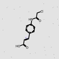 O=C(O)/C=C/c1ccc(NC(=O)CCl)cc1